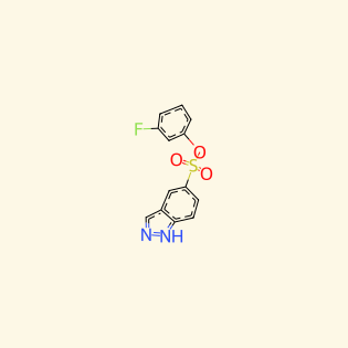 O=S(=O)(Oc1cccc(F)c1)c1ccc2[nH]ncc2c1